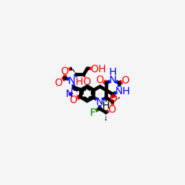 C[C@@H]1O[C@H](C)C(F)N2c3cc4onc(N5C(=O)OC[C@@H]5[C@H](O)CO)c4cc3CC3(C(=O)NC(=O)NC3=O)[C@@H]12